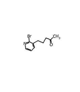 CC(=O)CCCc1cccnc1Br